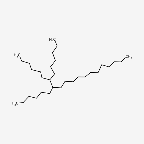 CCCCCCCCCCCCC(CCCCCC)C(CCCCCC)CCCCCC